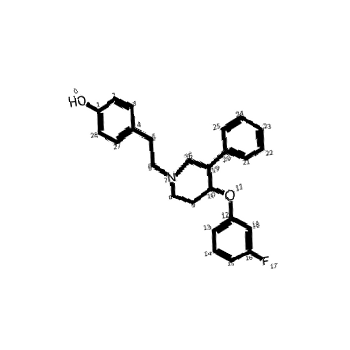 Oc1ccc(CCN2CCC(Oc3cccc(F)c3)C(c3ccccc3)C2)cc1